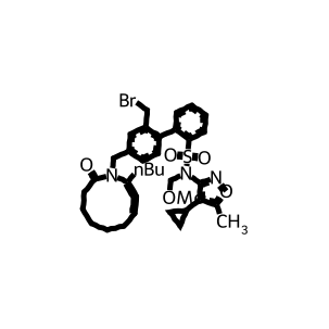 CCCCC1=C=CCCCCCC(=O)N1Cc1ccc(-c2ccccc2S(=O)(=O)N(COC)c2noc(C)c2C2CC2)c(CBr)c1